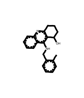 Cc1ccccc1CNc1c2c(nc3ccccc13)CCCC2O